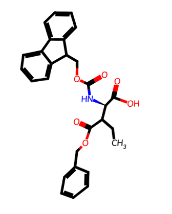 CCC(C(=O)OCc1ccccc1)[C@@H](NC(=O)OCC1c2ccccc2-c2ccccc21)C(=O)O